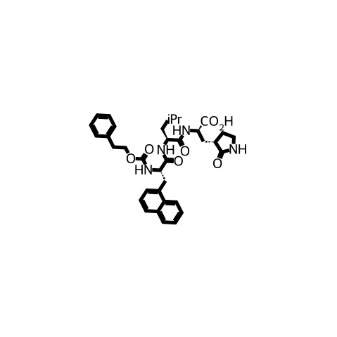 CC(C)C[C@H](NC(=O)[C@H](Cc1cccc2ccccc12)NC(=O)OCCc1ccccc1)C(=O)N[C@@H](C[C@@H]1CCNC1=O)C(=O)O